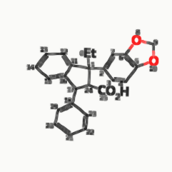 CCC1(c2ccc3c(c2)OCO3)c2ccccc2C(c2ccccc2)C1C(=O)O